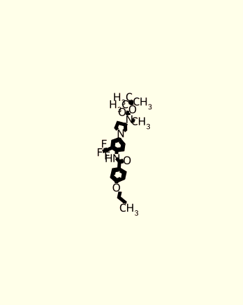 CCCCOc1ccc(C(=O)Nc2ccc(N3CCC(N(C)C(=O)OC(C)(C)C)C3)cc2C(F)(F)F)cc1